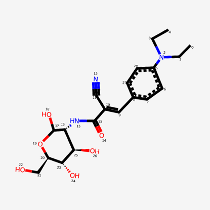 CCN(CC)c1ccc(/C=C(\C#N)C(=O)N[C@H]2C(O)O[C@H](CO)[C@@H](O)[C@@H]2O)cc1